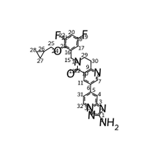 Nc1nc2cc(-c3cnc4c(c3)C(=O)N(Cc3cc(F)cc(F)c3OCC3CC3)CC4)ccn2n1